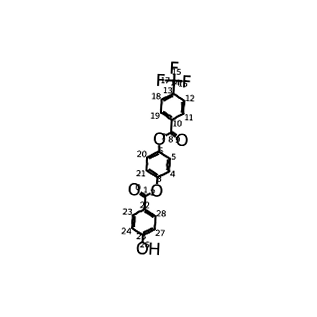 O=C(Oc1ccc(OC(=O)c2ccc(C(F)(F)F)cc2)cc1)c1ccc(O)cc1